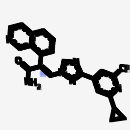 NC(=O)/C(=C/n1cnc(-c2cc(C3CC3)nc(C(F)(F)F)c2)n1)c1cccc2ccncc12